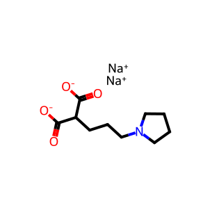 O=C([O-])C(CCCN1CCCC1)C(=O)[O-].[Na+].[Na+]